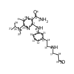 Cc1nc(C(N)=O)c(Nc2cccc(CCNC[CH]C=O)c2)nc1N(C)C(C)C